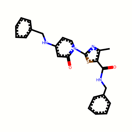 Cc1nc(-n2ccc(NCc3ccccc3)cc2=O)sc1C(=O)NCc1ccccc1